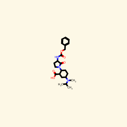 CC(C)N(C)C1CCC(N2CCC(NC(=O)OCc3ccccc3)C2=O)C(C(=O)O)C1